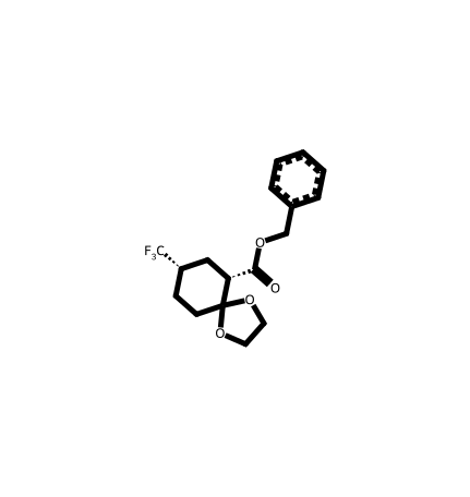 O=C(OCc1ccccc1)[C@H]1C[C@@H](C(F)(F)F)CCC12OCCO2